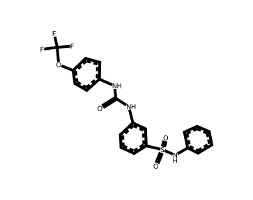 O=C(Nc1ccc(OC(F)(F)F)cc1)Nc1cccc(S(=O)(=O)Nc2ccccc2)c1